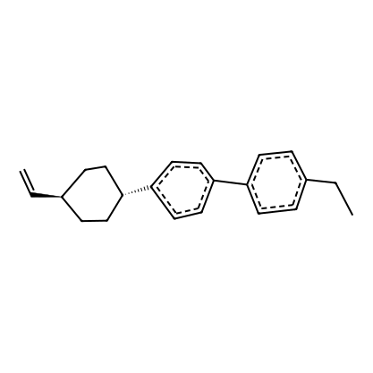 C=C[C@H]1CC[C@H](c2ccc(-c3ccc(CC)cc3)cc2)CC1